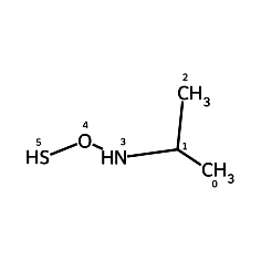 CC(C)NOS